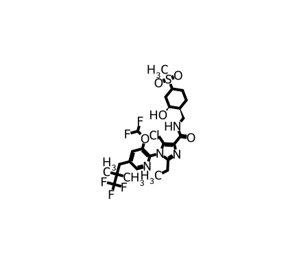 CCc1nc(C(=O)NC[C@@H]2CCC(S(C)(=O)=O)C[C@H]2O)c(Cl)n1-c1ncc(CC(C)(C)C(F)(F)F)cc1OC(F)F